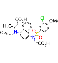 C#CCN(c1ccc(N(CC(=O)O)S(=O)(=O)c2ccc(OC)c(Cl)c2)c2ccccc12)[C@@H](C)CC(=O)O